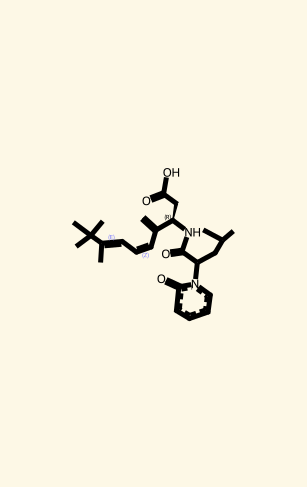 C=C(/C=C\C=C(/C)C(C)(C)C)[C@@H](CC(=O)O)NC(=O)C(CC(C)C)n1ccccc1=O